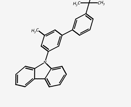 Cc1cc(-c2cccc(C(C)(C)C)c2)cc(-n2c3ccccc3c3ccccc32)c1